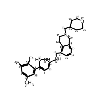 Cc1cc(F)c(F)c(C2=CC=C(NCc3cccc4c3CCN(CC3CCOCC3)C4)NN2)c1